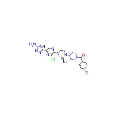 CC[C@H]1CN(c2ncc(-c3nnc(N)[nH]3)nc2Cl)CCN1C1CCN(C(=O)c2ccc(Cl)cc2)CC1